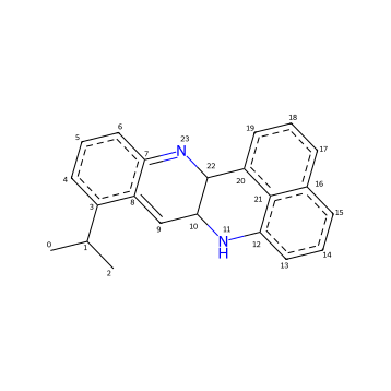 CC(C)c1cccc2c1=CC1Nc3cccc4cccc(c34)C1N=2